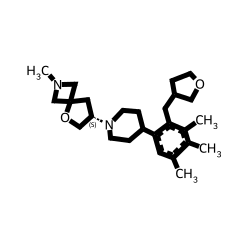 Cc1cc(C2CCN([C@@H]3COC4(C3)CN(C)C4)CC2)c(CC2CCOC2)c(C)c1C